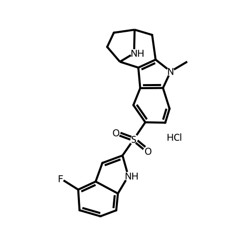 Cl.Cn1c2c(c3cc(S(=O)(=O)c4cc5c(F)cccc5[nH]4)ccc31)C1CCC(C2)N1